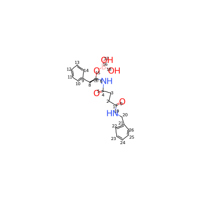 O=C(CCC(=O)N[C@@H](Cc1ccccc1)OB(O)O)NCc1ccccc1